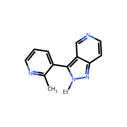 CCn1nc2ccncc2c1-c1cccnc1C